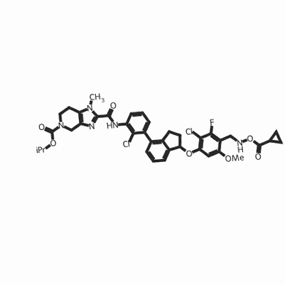 COc1cc(OC2CCc3c(-c4cccc(NC(=O)c5nc6c(n5C)CCN(C(=O)OC(C)C)C6)c4Cl)cccc32)c(Cl)c(F)c1CNOC(=O)C1CC1